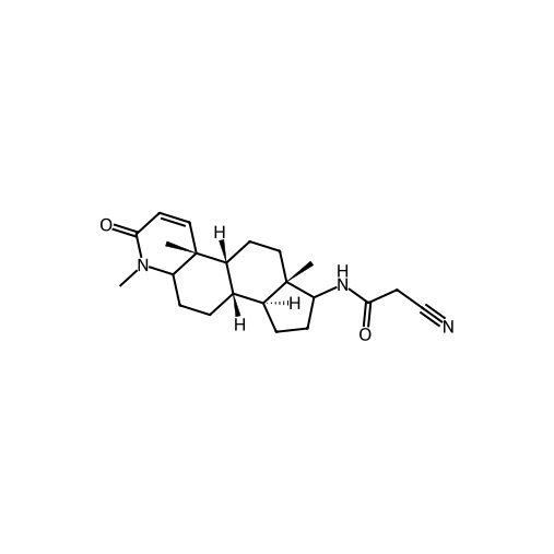 CN1C(=O)C=C[C@@]2(C)C1CC[C@@H]1[C@H]2CC[C@]2(C)C(NC(=O)CC#N)CC[C@@H]12